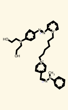 CN(/N=C\c1cc[n+](CCCCCC[n+]2ccccc2/N=N/c2ccc(N(CCO)CCO)cc2)cc1)c1ccccc1